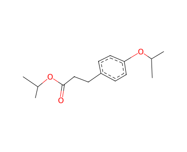 CC(C)OC(=O)CCc1ccc(OC(C)C)cc1